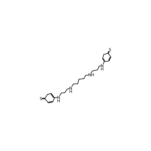 S=C1C=CC(NCCCNCCCCCNCCCNC2=CCC(=S)C=C2)=CC1